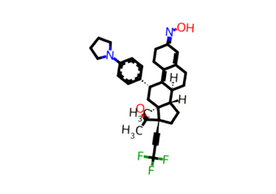 CC(=O)[C@@]1(C#CC(F)(F)F)CC[C@H]2[C@@H]3CCC4=CC(=NO)CCC4=C3[C@@H](c3ccc(N4CCCC4)cc3)C[C@@]21C